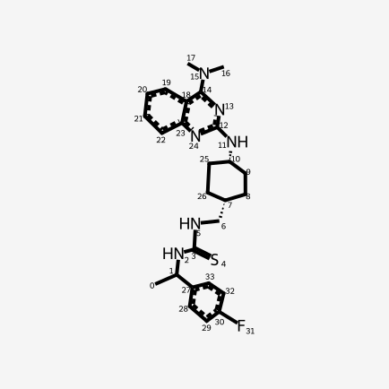 CC(NC(=S)NC[C@H]1CC[C@@H](Nc2nc(N(C)C)c3ccccc3n2)CC1)c1ccc(F)cc1